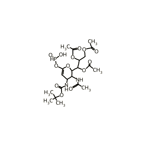 CC(=O)NC1C(NC(=O)OC(C)(C)C)C=C(O[PH](=O)O)OC1C(OC(C)=O)C(COC(C)=O)OC(C)=O